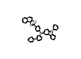 c1ccc(-c2cccc(N(c3ccc(-c4nc5c(ccc6ccccc65)o4)cc3)c3ccc4c(c3)c3ccccc3n4-c3ccccc3)c2)cc1